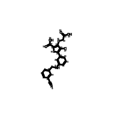 N#Cc1cccc(CNc2cccc(-c3sc(C(=O)O)c(OCC(=O)O)c3Cl)c2)c1